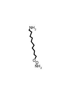 NCCCCCCCCCCOON